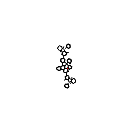 Cc1cc(-c2ccc3c(c2)C(c2ccccc2)(c2ccccc2)c2c-3c3ccccc3c3cc(-c4cc(C)c5c(c4)C4(C)CCCCC4(C)N5c4ccccc4)ccc23)cc2c1N(c1ccccc1)C1(C)CCCCC21C